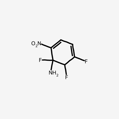 NC1(F)C([N+](=O)[O-])=CC=C(F)C1F